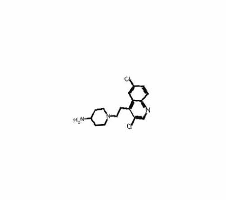 NC1CCN(CCc2c(Cl)cnc3ccc(Cl)cc23)CC1